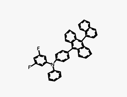 Fc1cc(F)cc(N(c2ccccc2)c2ccc(-c3c4ccccc4c(-c4cccc5ccccc45)c4ccccc34)cc2)c1